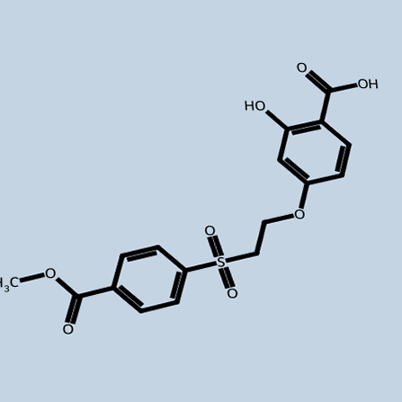 COC(=O)c1ccc(S(=O)(=O)CCOc2ccc(C(=O)O)c(O)c2)cc1